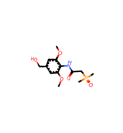 COc1cc(CO)cc(OC)c1NC(=O)CP(C)(C)=O